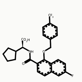 O=C(N[C@H](C(=O)O)C1CCCC1)c1ccc2cc(F)ccc2c1OCc1ccc(C(F)(F)F)cc1